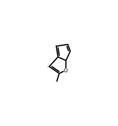 CC1=[C]C2=CC=CC2O1